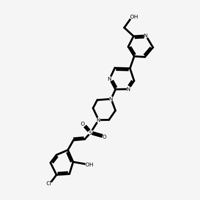 O=S(=O)(C=Cc1ccc(Cl)cc1O)N1CCN(c2ncc(-c3ccnc(CO)c3)cn2)CC1